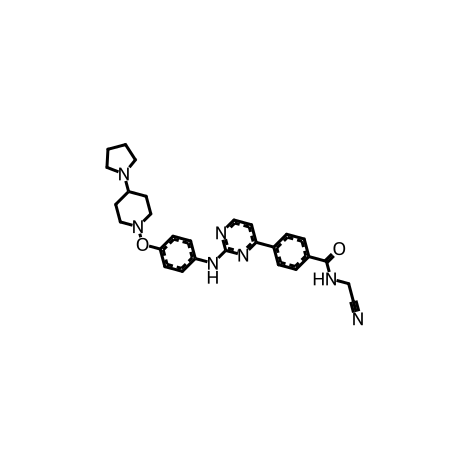 N#CCNC(=O)c1ccc(-c2ccnc(Nc3ccc(ON4CCC(N5CCCC5)CC4)cc3)n2)cc1